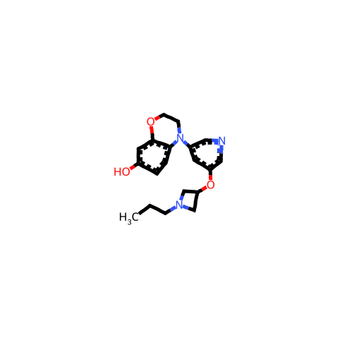 CCCN1CC(Oc2cncc(N3CCOc4cc(O)ccc43)c2)C1